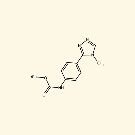 Cn1cnnc1-c1ccc(NC(=O)OC(C)(C)C)cc1